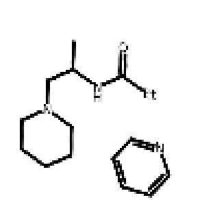 CCC(=O)NC(C)CN1CCCCC1.c1ccncc1